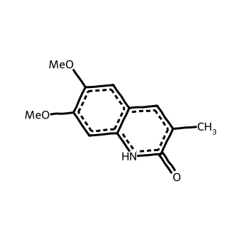 COc1cc2cc(C)c(=O)[nH]c2cc1OC